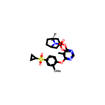 COc1cc(S(=O)(=O)C2CC2)ccc1Oc1ncnc(OC2CC3CC[C@@H](C2)N3C(=O)OC(C)(C)C)c1C